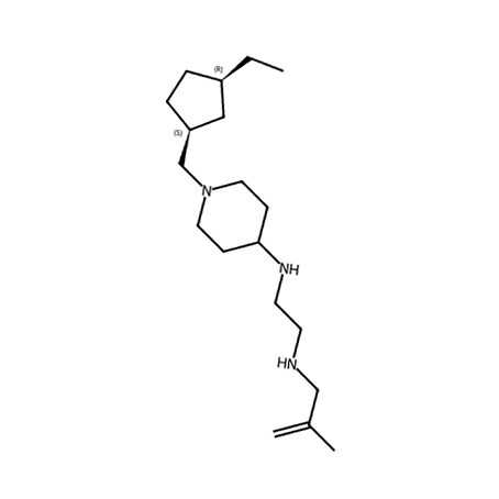 C=C(C)CNCCNC1CCN(C[C@H]2CC[C@@H](CC)C2)CC1